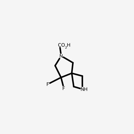 O=C(O)N1CC(F)(F)C2(CNC2)C1